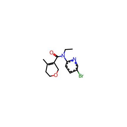 CCN(C(=O)C1=C(C)CCOC1)c1ccc(Br)cn1